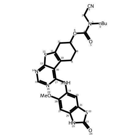 CCCCN(CC#N)C(=O)OC1CCc2c(sc3ncnc(Nc4cc5sc(=O)[nH]c5cc4OC)c23)C1